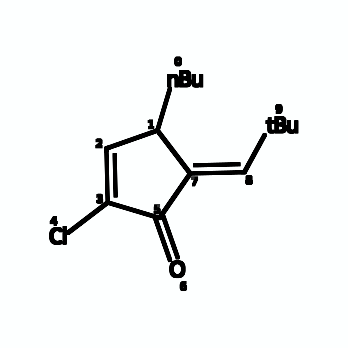 CCCCC1C=C(Cl)C(=O)/C1=C/C(C)(C)C